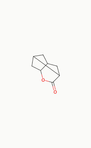 O=C1OC2CC3CC2CC13